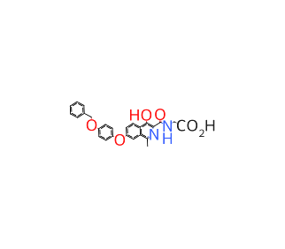 Cc1nc(C(=O)NCC(=O)O)c(O)c2ccc(Oc3ccc(OCc4ccccc4)cc3)cc12